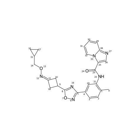 Cc1ccc(-c2noc(C3CC(=NOCC4CC4)C3)n2)cc1NC(=O)c1cnc2ccccn12